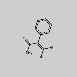 NC(=O)C(=C(Br)Br)c1ccccc1